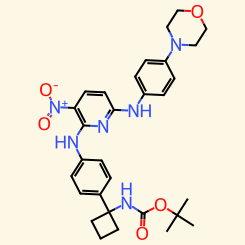 CC(C)(C)OC(=O)NC1(c2ccc(Nc3nc(Nc4ccc(N5CCOCC5)cc4)ccc3[N+](=O)[O-])cc2)CCC1